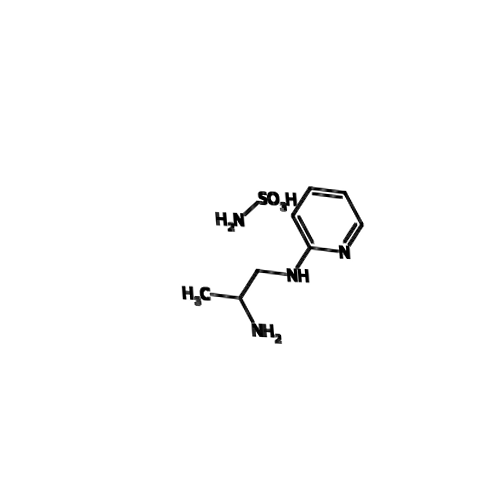 CC(N)CNc1ccccn1.NS(=O)(=O)O